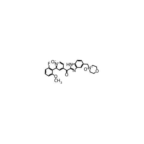 COc1cccc(F)c1-c1cc(C(=O)c2nc3cc(C[N+]4([O-])CCOCC4)ccc3[nH]2)cc[n+]1[O-]